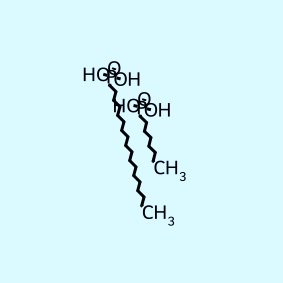 CCCCCCCCCCCCCCCCCCP(=O)(O)O.CCCCCCCCP(=O)(O)O